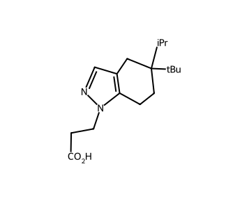 CC(C)C1(C(C)(C)C)CCc2c(cnn2CCC(=O)O)C1